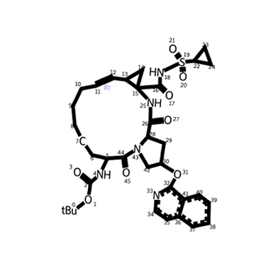 CC(C)(C)OC(=O)NC1CCCCC/C=C/C2CC2(C(=O)NS(=O)(=O)C2CC2)NC(=O)C2CC(Oc3nccc4ccccc34)CN2C1=O